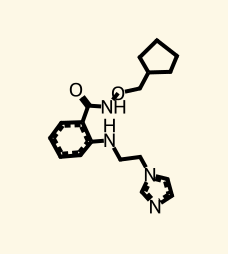 O=C(NOCC1CCCC1)c1ccccc1NCCn1ccnc1